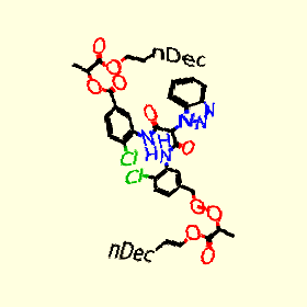 CCCCCCCCCCCCOC(=O)C(C)OOCc1ccc(Cl)c(NC(=O)C(C(=O)Nc2cc(C(=O)OC(C)C(=O)OCCCCCCCCCCCC)ccc2Cl)n2nnc3ccccc32)c1